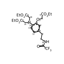 CCOC(=O)COc1cc(CCNC(=O)C(F)(F)F)ccc1N(CC(=O)OCC)CC(=O)OCC